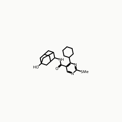 CSc1ncc(C(=O)NC2C3CC4CC2CC(O)(C4)C3)c(C2CCCCC2)n1